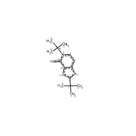 CC(C)(C)c1nc2ccn(C(C)(C)C)c(=O)c2s1